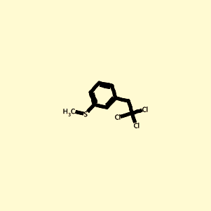 CSc1cc[c]c(CC(Cl)(Cl)Cl)c1